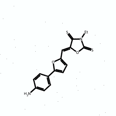 CCN1C(=S)O/C(=C\c2ccc(-c3ccc(N)cc3)o2)C1=S